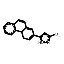 FC(F)(F)c1cc(C2=CCC3C(=C2)C=Cc2ccccc23)[nH]n1